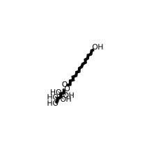 O=C(CCCCCCCCCCCCCCCCCO)OC[C@H](O)[C@@H](O)[C@H](O)[C@H](O)CO